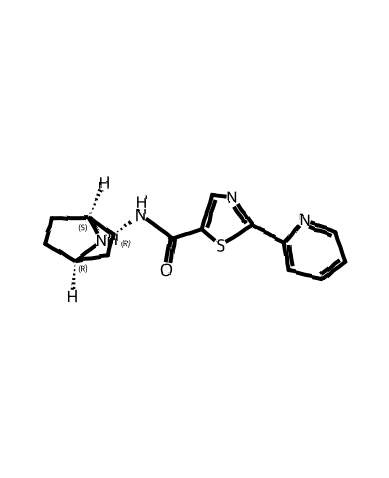 O=C(N[C@@H]1C[C@H]2CC[C@@H]1N2)c1cnc(-c2ccccn2)s1